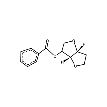 O=C(OC1CO[C@@H]2CCO[C@H]12)c1ccccc1